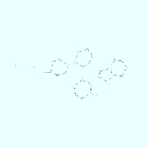 BrCCOc1ccc(-c2cc(-c3c(-c4ccccn4)nc4ccccn34)ccn2)cc1